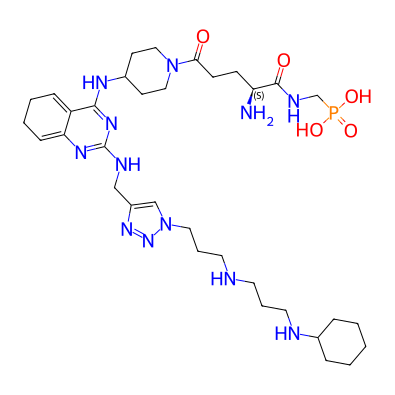 N[C@@H](CCC(=O)N1CCC(Nc2nc(NCc3cn(CCCNCCCNC4CCCCC4)nn3)nc3c2=CCCC=3)CC1)C(=O)NCP(=O)(O)O